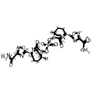 NC(=O)c1noc([C@@H]2CC[C@@H]3CN2C(=O)N3OS(=O)(=O)ON2C(=O)N3C[C@H]2CC[C@H]3c2nc(C(N)=O)no2)n1